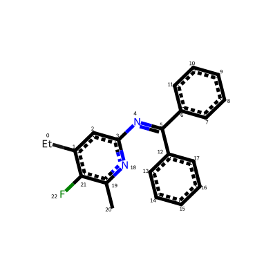 CCc1cc(N=C(c2ccccc2)c2ccccc2)nc(C)c1F